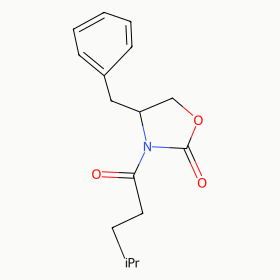 CC(C)CCC(=O)N1C(=O)OCC1Cc1ccccc1